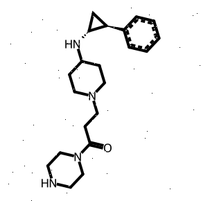 O=C(CCN1CCC(N[C@@H]2C[C@H]2c2ccccc2)CC1)N1CCNCC1